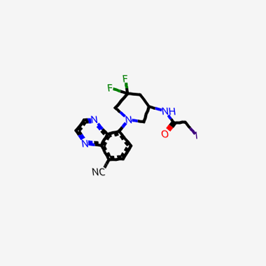 N#Cc1ccc(N2CC(NC(=O)CI)CC(F)(F)C2)c2nccnc12